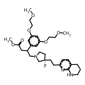 COCCOc1cc(OCCOC)cc(C(CC(=O)OC)CN2CC[C@@](F)(CCc3ccc4c(n3)NCCC4)C2)c1